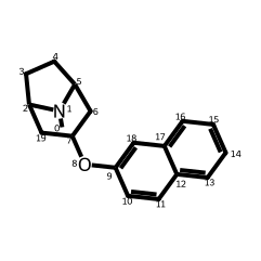 CN1C2CCC1CC(Oc1ccc3ccccc3c1)C2